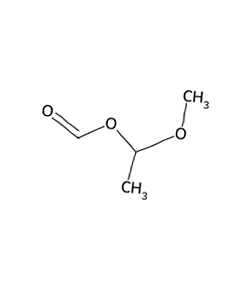 COC(C)OC=O